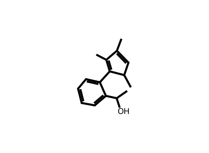 CC1=CC(C)C(c2ccccc2C(C)O)=C1C